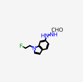 O=CNNc1ccc2ccn(CCF)c2c1